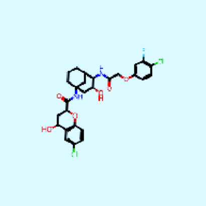 O=C(COc1ccc(Cl)c(F)c1)NC1C2CCCC(NC(=O)C3CC(O)c4cc(Cl)ccc4O3)(C2)C[C@@H]1O